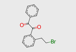 O=C(C(=O)c1ccccc1CCBr)c1ccccc1